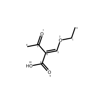 CCO/C=C(\C(C)=O)C(=O)O